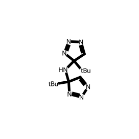 CC(C)(C)C1(NC2(C(C)(C)C)C=NN=N2)C=NN=N1